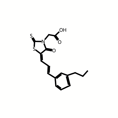 CCCc1cccc(C=CC=C2SC(=S)N(CC(=O)O)C2=O)c1